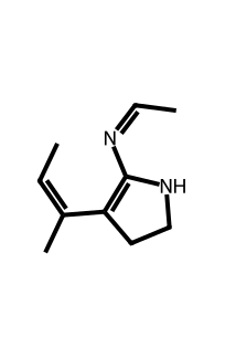 C/C=N\C1=C(C(/C)=C\C)CCN1